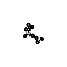 c1ccc(-c2nc(-c3ccc(-c4ccc5c(c4)c4ccccc4n5-c4ccccc4)cc3)nc(-c3cc4c5ccccc5c5ccccc5c4c4ccccc34)n2)cc1